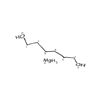 OCCCCCCO.[MgH2]